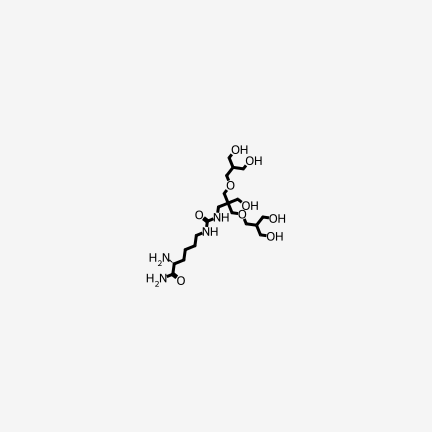 NC(=O)[C@H](N)CCCCNC(=O)NCC(CO)(COCC(CO)CO)COCC(CO)CO